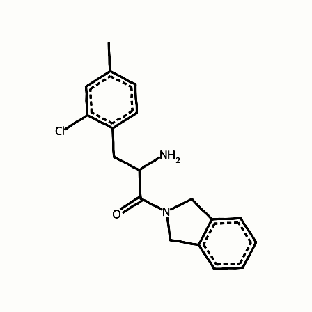 Cc1ccc(CC(N)C(=O)N2Cc3ccccc3C2)c(Cl)c1